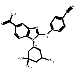 CC1C[C@H](n2c(Nc3ccc(C#N)cc3)nc3cc(C(=O)O)ccc32)CC(C)(C)C1